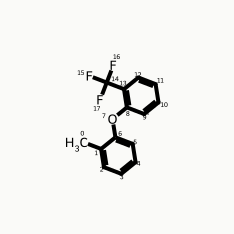 Cc1ccccc1Oc1[c]cccc1C(F)(F)F